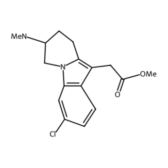 CNC1CCc2c(CC(=O)OC)c3ccc(Cl)cc3n2C1